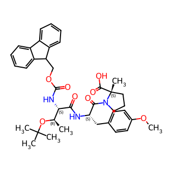 COc1ccc(C[C@H](NC(=O)[C@@H](NC(=O)OCC2c3ccccc3-c3ccccc32)[C@@H](C)OC(C)(C)C)C(=O)N2CCC[C@@]2(C)C(=O)O)cc1